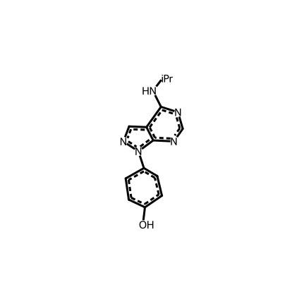 CC(C)Nc1ncnc2c1cnn2-c1ccc(O)cc1